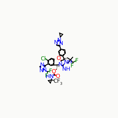 CC(C)(C[C@]1(c2ccc(-c3cnn(C4CC4)n3)cc2)NC(=N)N([C@H](COC(=O)NC2(C(F)(F)F)CC2)c2ccc(Cl)c(-c3ncnn3C(F)F)c2)C1=O)C(F)F